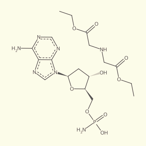 CCOC(=O)CNCC(=O)OCC.Nc1ncnc2c1ncn2[C@H]1C[C@H](O)[C@@H](COP(N)(=O)O)O1